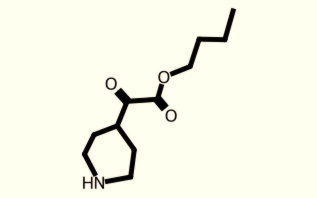 CCCCOC(=O)C(=O)C1CCNCC1